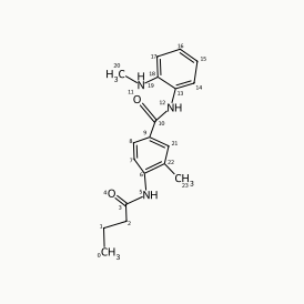 CCCC(=O)Nc1ccc(C(=O)Nc2ccccc2NC)cc1C